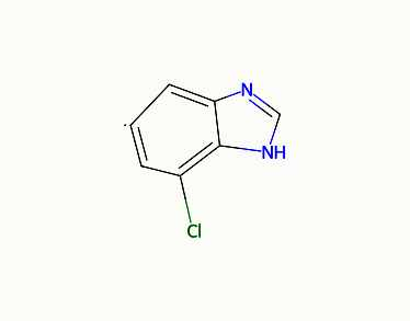 Clc1c[c]cc2nc[nH]c12